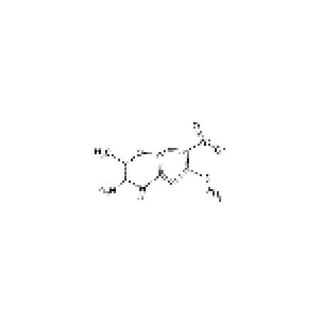 CSc1cc2c(cc1[N+](=O)[O-])OC(C)=C(N)N2